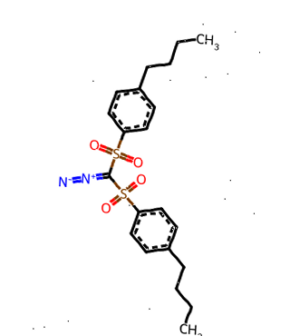 CCCCc1ccc(S(=O)(=O)C(=[N+]=[N-])S(=O)(=O)c2ccc(CCCC)cc2)cc1